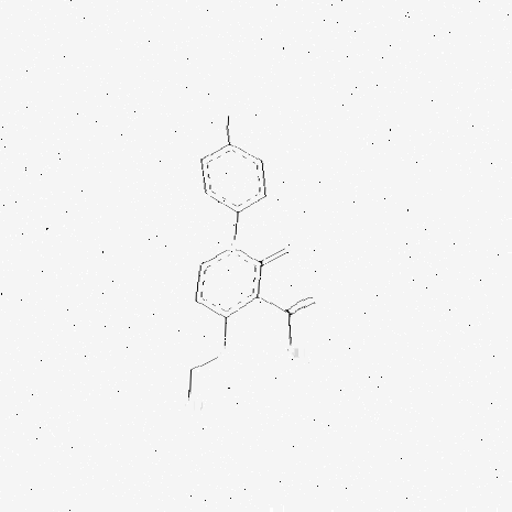 CCOc1ccn(-c2ccc(F)cc2)c(=O)c1C(N)=O